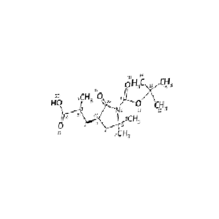 C[C@@H](C[C@@H]1CC(C)(C)N(C(=O)OC(C)(C)C)C1=O)C(=O)O